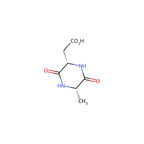 C[C@@H]1NC(=O)[C@H](CC(=O)O)NC1=O